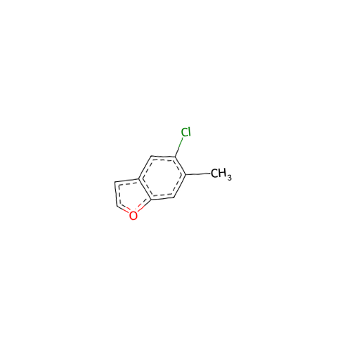 Cc1cc2occc2cc1Cl